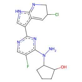 NN(c1nc(-c2c[nH]c3c2=CC(Cl)CN=3)ncc1F)C1CCCC1O